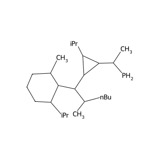 CCCCC(C)C(C1C(C)CCCC1C(C)C)C1C(C(C)C)C1C(C)P